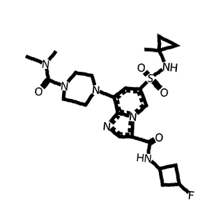 CN(C)C(=O)N1CCN(c2cc(S(=O)(=O)NC3(C)CC3)cn3c(C(=O)NC4CC(F)C4)cnc23)CC1